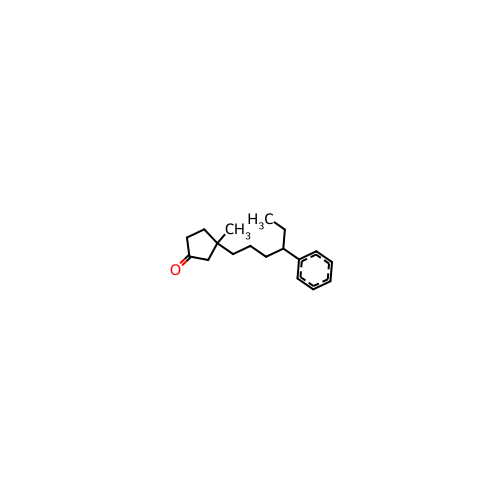 CCC(CCCC1(C)CCC(=O)C1)c1ccccc1